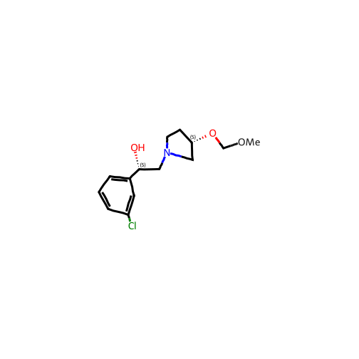 COCO[C@H]1CCN(C[C@@H](O)c2cccc(Cl)c2)C1